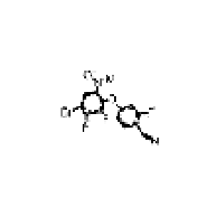 N#Cc1ccc(Oc2c([N+](=O)[O-])cc(Br)c(F)c2F)cc1F